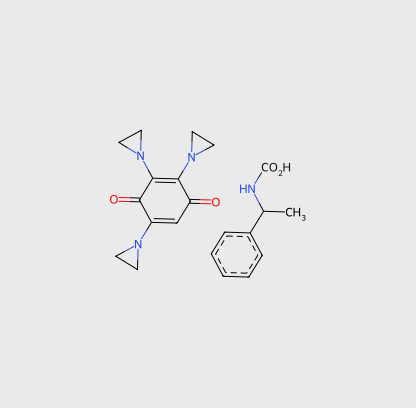 CC(NC(=O)O)c1ccccc1.O=C1C=C(N2CC2)C(=O)C(N2CC2)=C1N1CC1